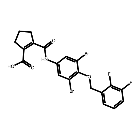 O=C(O)C1=C(C(=O)Nc2cc(Br)c(OCc3cccc(F)c3F)c(Br)c2)CCC1